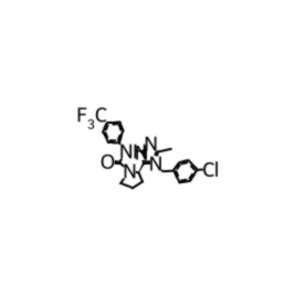 Cc1nnc([C@H]2CCCN2C(=O)Nc2ccc(C(F)(F)F)cc2)n1Cc1ccc(Cl)cc1